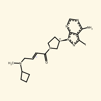 CN(C/C=C/C(=O)N1CC[C@@H](n2nc(I)c3c(N)ncnc32)C1)C1CCC1